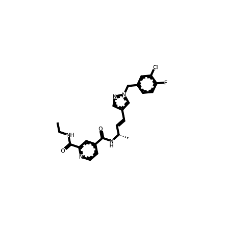 CCNC(=O)c1cc(C(=O)N[C@@H](C)/C=C/c2cnn(Cc3ccc(F)c(Cl)c3)c2)ccn1